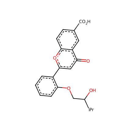 CC(C)C(O)COc1ccccc1-c1cc(=O)c2cc(C(=O)O)ccc2o1